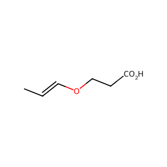 CC=COCCC(=O)O